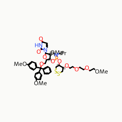 COCCOCCOCCO[C@@H]1CSSC[C@H]1OP(O[C@@H]1C(COC(c2ccccc2)(c2ccc(OC)cc2)c2ccc(OC)cc2)OC(n2ccc(=O)[nH]c2=O)[C@@H]1OC)N(C(C)C)C(C)C